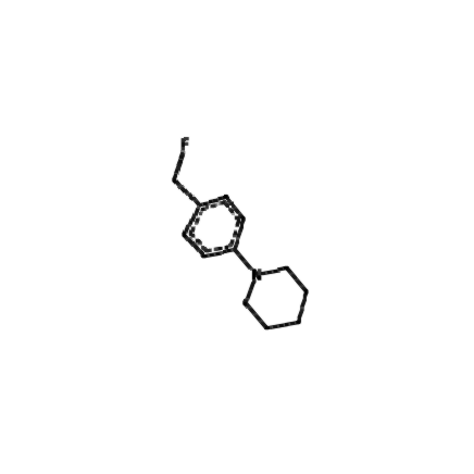 FCc1ccc(N2CCCCC2)cc1